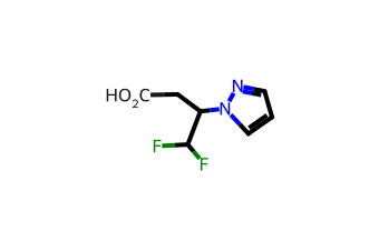 O=C(O)CC(C(F)F)n1cccn1